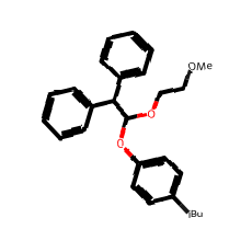 CCC(C)c1ccc(OC(OCCOC)C(c2ccccc2)c2ccccc2)cc1